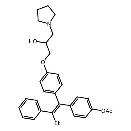 CCC(=C(c1ccc(OCC(O)CN2CCCC2)cc1)c1ccc(OC(C)=O)cc1)c1ccccc1